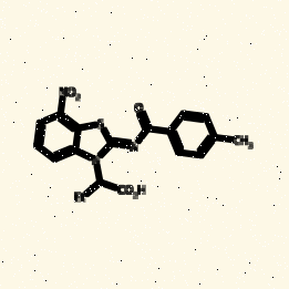 CCC(C(=O)O)n1c(=NC(=O)c2ccc(C)cc2)sc2c([N+](=O)[O-])cccc21